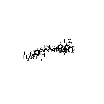 CC[C@H]1CC2C3CCC(CCCCCC(=P)NSc4ccc(C(C)(C)C)cc4)C3(C)CC[C@]2(N)C2(C)CCCCC12